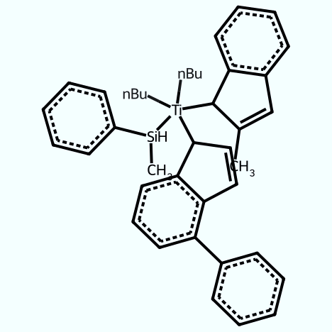 CCC[CH2][Ti]([CH2]CCC)([CH]1C=Cc2c(-c3ccccc3)cccc21)([CH]1C(C)=Cc2ccccc21)[SiH](C)c1ccccc1